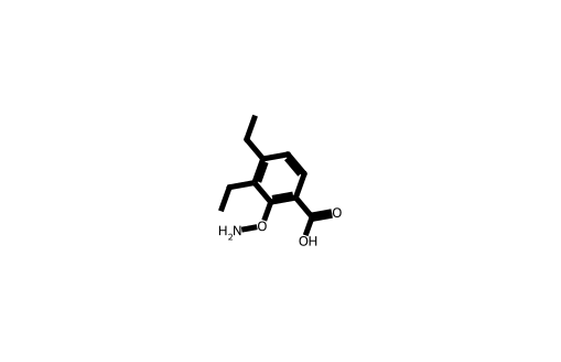 CCc1ccc(C(=O)O)c(ON)c1CC